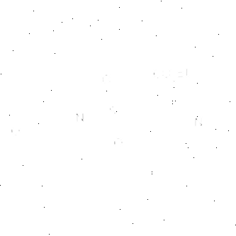 CCOC(=O)C(=CN(C)C)S(=O)(=O)N1CCOCC1